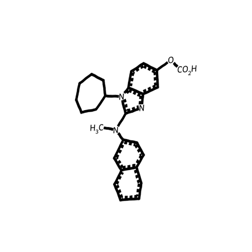 CN(c1ccc2ccccc2c1)c1nc2cc(OC(=O)O)ccc2n1C1CCCCCC1